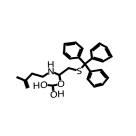 C=C(C)CCNC(CSC(c1ccccc1)(c1ccccc1)c1ccccc1)OC(O)O